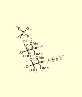 COP(=O)(OC)C([O-])([O-])C=O.COP(=O)(OC)C([O-])([O-])C=O.O=P([O-])(F)F.[Li+].[Li+].[Li+].[Li+].[Li+]